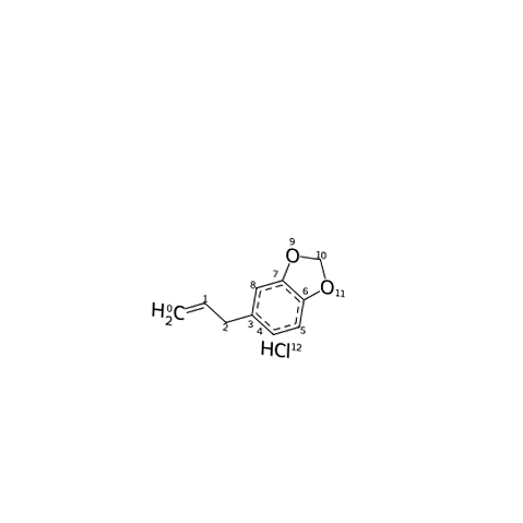 C=CCc1ccc2c(c1)OCO2.Cl